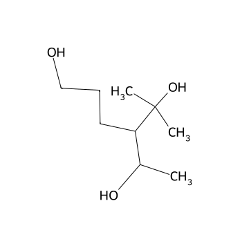 CC(O)C(CCCO)C(C)(C)O